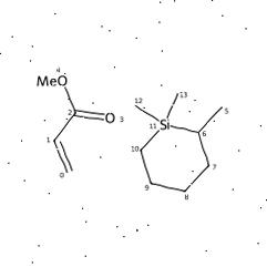 C=CC(=O)OC.CC1CCCC[Si]1(C)C